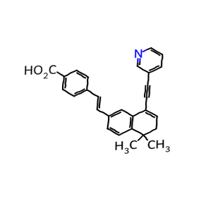 CC1(C)CC=C(C#Cc2cccnc2)c2cc(C=Cc3ccc(C(=O)O)cc3)ccc21